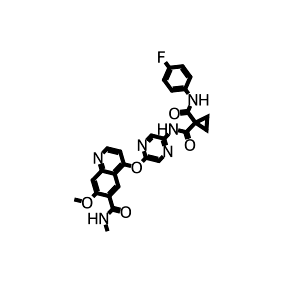 CNC(=O)c1cc2c(Oc3cnc(NC(=O)C4(C(=O)Nc5ccc(F)cc5)CC4)cn3)ccnc2cc1OC